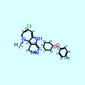 CN1CC=C(Cl)C=c2[nH]c3c(c21)CN=NC=3[C@H]1CC[C@H](Oc2ccc(F)cc2)CC1